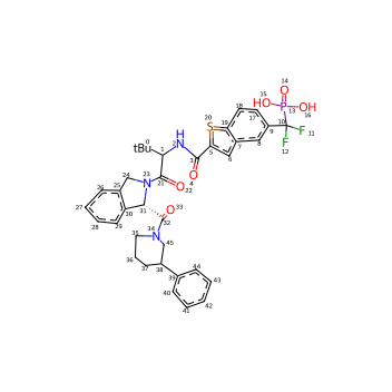 CC(C)(C)C(NC(=O)c1cc2cc(C(F)(F)P(=O)(O)O)ccc2s1)C(=O)N1Cc2ccccc2[C@H]1C(=O)N1CCCC(c2ccccc2)C1